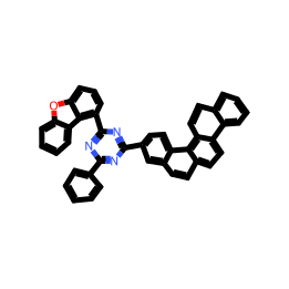 c1ccc(-c2nc(-c3ccc4c(ccc5ccc6c7ccccc7ccc6c54)c3)nc(-c3cccc4oc5ccccc5c34)n2)cc1